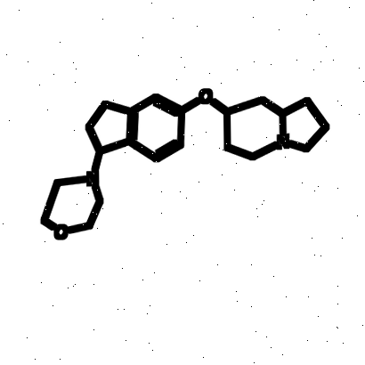 c1cc2c(cc1OC1CCN3CCCC3C1)CCC2N1CCOCC1